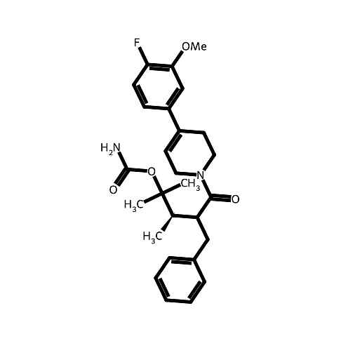 COc1cc(C2=CCN(C(=O)C(Cc3ccccc3)[C@@H](C)C(C)(C)OC(N)=O)CC2)ccc1F